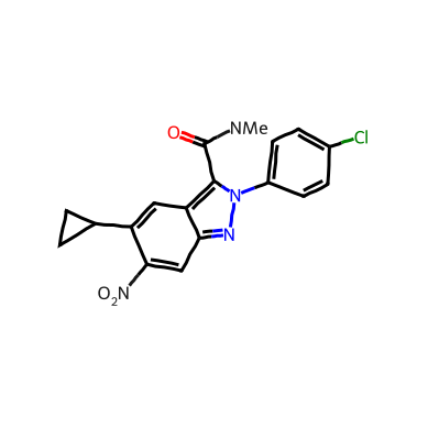 CNC(=O)c1c2cc(C3CC3)c([N+](=O)[O-])cc2nn1-c1ccc(Cl)cc1